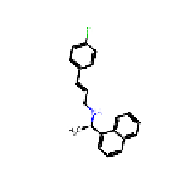 C[C@@H](NC/C=C/c1ccc(Cl)cc1)c1cccc2ccccc12